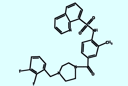 Cc1cc(C(=O)N2CCN(Cc3cccc(F)c3F)CC2)ccc1NS(=O)(=O)c1cccc2cccnc12